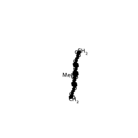 C=CC(=O)OCCCCOc1ccc(/C=C/C(=O)Oc2ccc(/N=C/c3ccc(OCCCCOC(=O)C=C)cc3)cc2OC)cc1